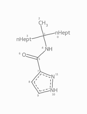 CCCCCCCC(C)(CCCCCCC)NC(=O)c1cc[nH]n1